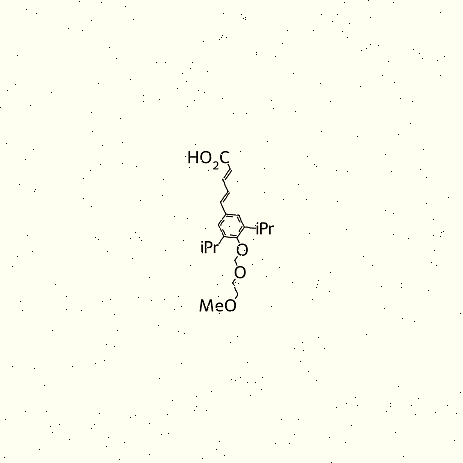 COCCOCOc1c(C(C)C)cc(C=CC=CC(=O)O)cc1C(C)C